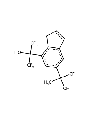 CC(O)(c1cc2c(c(C(O)(C(F)(F)F)C(F)(F)F)c1)CC=C2)C(F)(F)F